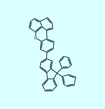 c1ccc(C2(c3ccccc3)c3ccccc3-c3ccc(-c4ccc5c(c4)Oc4cccc6cccc-5c46)cc32)cc1